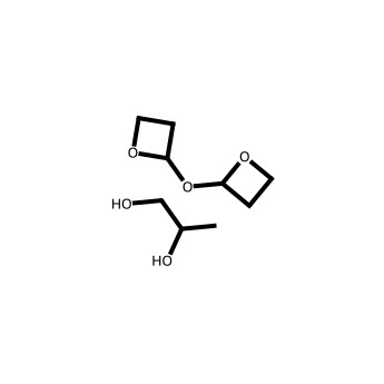 C1CC(OC2CCO2)O1.CC(O)CO